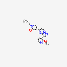 CCOc1ncccc1-c1cnn2ccc(-c3ccn(CCC(C)C)c(=O)c3)nc12